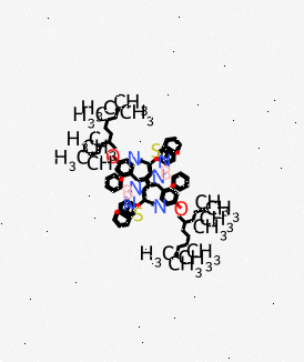 CC(CCC(COc1ccc(-c2c3/c(=C(\C#N)c4nc5ccccc5s4)n(B(c4ccccc4)c4ccccc4)c(-c4ccc(OCC(CCC(C)CC(C)(C)C)C(C)CC(C)(C)C)cc4)c3/c(=C(\C#N)c3nc4ccccc4s3)n2B(c2ccccc2)c2ccccc2)cc1)C(C)CC(C)(C)C)CC(C)(C)C